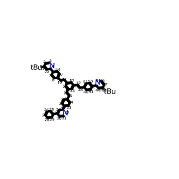 CC(C)(C)c1ccnc(-c2ccc(/C=C/c3cc(/C=C/c4ccc(-c5cc(-c6ccccc6)ccn5)cc4)cc(/C=C/c4ccc(-c5cc(C(C)(C)C)ccn5)cc4)c3)cc2)c1